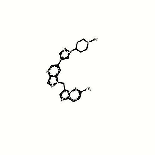 CC(C)N1CCC(n2cc(-c3cnc4cnn(Cc5cnc6ccc(C(F)(F)F)nn56)c4c3)cn2)CC1